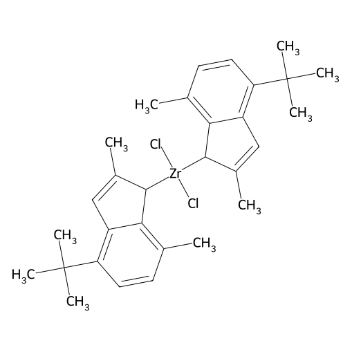 CC1=Cc2c(C(C)(C)C)ccc(C)c2[CH]1[Zr]([Cl])([Cl])[CH]1C(C)=Cc2c(C(C)(C)C)ccc(C)c21